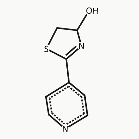 OC1CSC(c2ccncc2)=N1